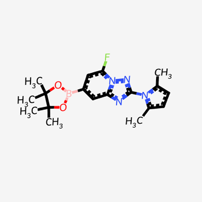 Cc1ccc(C)n1-c1nc2cc(B3OC(C)(C)C(C)(C)O3)cc(F)n2n1